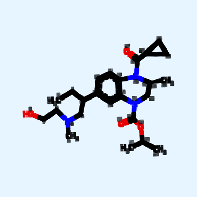 CCC(CN(C)CCO)c1ccc2c(c1)N(C(=O)OC(C)C)C[C@H](C)N2C(=O)C1CC1